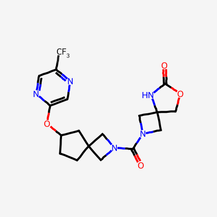 O=C1NC2(CO1)CN(C(=O)N1CC3(CCC(Oc4cnc(C(F)(F)F)cn4)C3)C1)C2